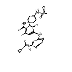 Cc1cc(Nc2cc(NC(=O)C3CC3)ncn2)c(=O)n2c1C(=O)NC21CCC(NS(C)(=O)=O)CC1